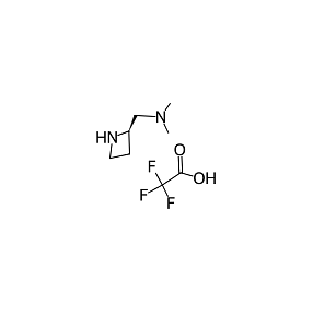 CN(C)C[C@H]1CCN1.O=C(O)C(F)(F)F